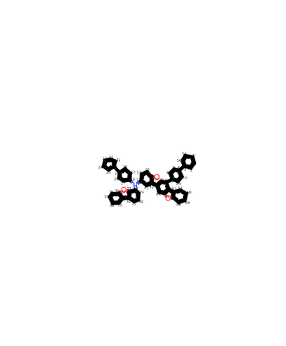 c1ccc(-c2ccc(-c3c4oc5ccc(N(c6ccc(-c7ccccc7)cc6)c6cccc7c6oc6ccccc67)cc5c4cc4oc5ccccc5c34)cc2)cc1